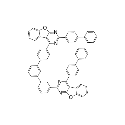 c1ccc(-c2ccc(-c3nc(-c4ccc(-c5cccc(-c6cccc(-c7nc(-c8ccc(-c9ccccc9)cc8)c8c(n7)oc7ccccc78)c6)c5)cc4)c4c(n3)oc3ccccc34)cc2)cc1